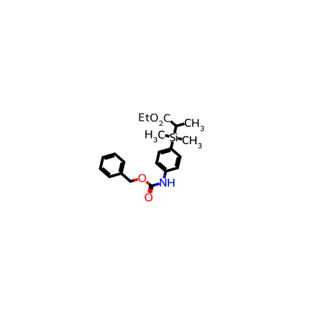 CCOC(=O)C(C)[Si](C)(C)c1ccc(NC(=O)OCc2ccccc2)cc1